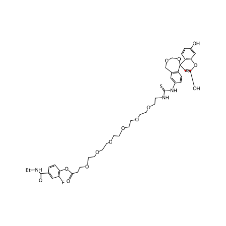 CCNC(=O)c1ccc(OC(=O)CCOCCOCCOCCOCCOCCOCCNC(=S)Nc2ccc3c(c2)COCOC32c3ccc(O)cc3Oc3cc(O)ccc32)c(F)c1